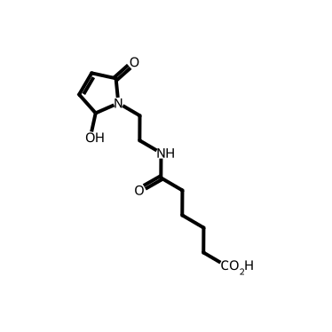 O=C(O)CCCCC(=O)NCCN1C(=O)C=CC1O